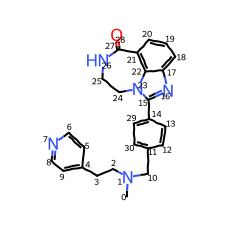 CN(CCc1ccncc1)Cc1ccc(-c2nc3cccc4c3n2CCNC4=O)cc1